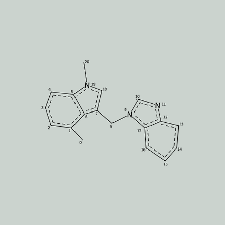 Cc1cccc2c1c(Cn1[c]nc3ccccc31)cn2C